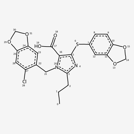 CCCc1nc(Sc2ccc3c(c2)OCO3)c(C(=O)O)n1Cc1cc2c(cc1Cl)OCO2